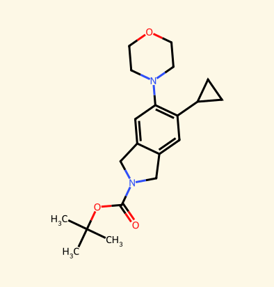 CC(C)(C)OC(=O)N1Cc2cc(C3CC3)c(N3CCOCC3)cc2C1